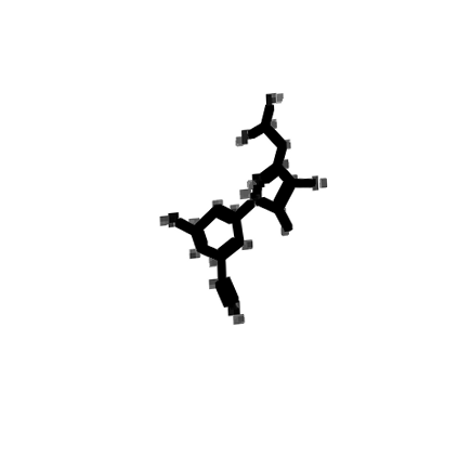 Cc1c(I)c(CC(F)F)nn1-c1cc(F)cc(C#N)c1